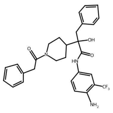 Nc1ccc(NC(=O)C(O)(Cc2ccccc2)C2CCN(C(=O)Cc3ccccc3)CC2)cc1C(F)(F)F